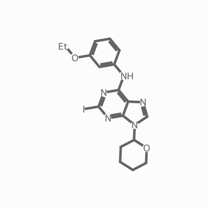 CCOc1cccc(Nc2nc(I)nc3c2ncn3C2CCCCO2)c1